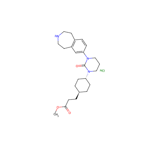 COC(=O)CC[C@H]1CC[C@H](N2CCCN(c3ccc4c(c3)CCNCC4)C2=O)CC1.Cl